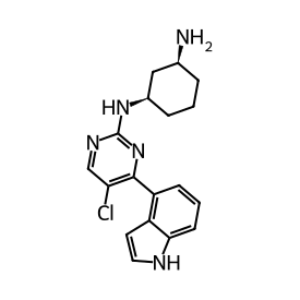 N[C@H]1CCC[C@@H](Nc2ncc(Cl)c(-c3cccc4[nH]ccc34)n2)C1